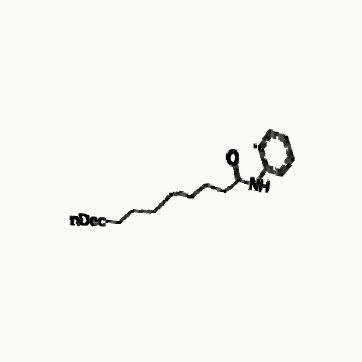 CCCCCCCCCCCCCCCCCC(=O)Nc1[c]cccc1